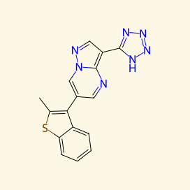 Cc1sc2ccccc2c1-c1cnc2c(-c3nnn[nH]3)cnn2c1